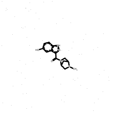 CN1CC2CC1CN2C(=O)c1n[nH]c2ccc(O)cc12